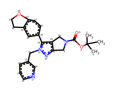 CC(C)(C)OC(=O)N1Cc2nn(Cc3cccnc3)c(-c3ccc4c(c3)CCO4)c2C1